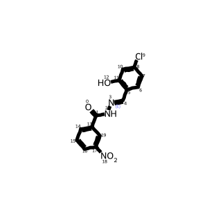 O=C(N/N=C/c1ccc(Cl)cc1O)c1cccc([N+](=O)[O-])c1